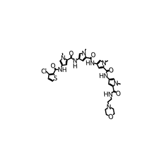 Cn1cc(NC(=O)c2cc(NC(=O)c3cc(NC(=O)c4cc(NC(=O)c5sccc5Cl)cn4C)cn3C)cn2C)cc1C(=O)NCCN1CCOCC1